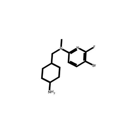 CN(CC1CCC(N)CC1)c1ccc(Br)c(F)n1